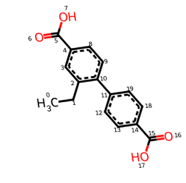 CCc1cc(C(=O)O)ccc1-c1ccc(C(=O)O)cc1